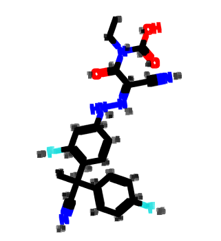 CCN(C(=O)O)C(=O)C(C#N)=NNc1ccc(C(C)(C#N)c2ccc(F)cc2)c(F)c1